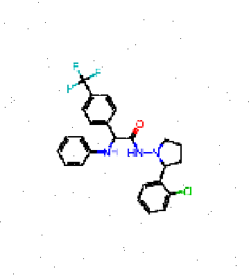 O=C(NN1CCCC1c1ccccc1Cl)C(Nc1ccccc1)c1ccc(C(F)(F)F)cc1